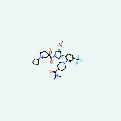 COC[C@H]1CN(C(=O)[C@@]2(OC)CCN(C3CCCC3)C2)C[C@@H]1c1ccc(C(F)(F)F)cc1N1CCC(C(=O)N(C)C)CC1